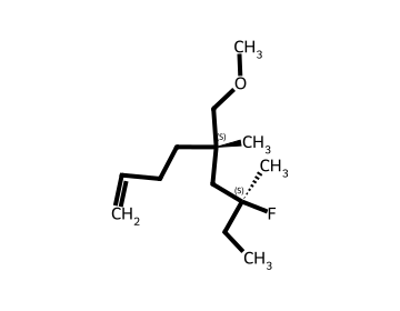 C=CCC[C@](C)(COC)C[C@@](C)(F)CC